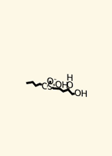 CCCCC[S+]([O-])CC(O)CC(O)CO